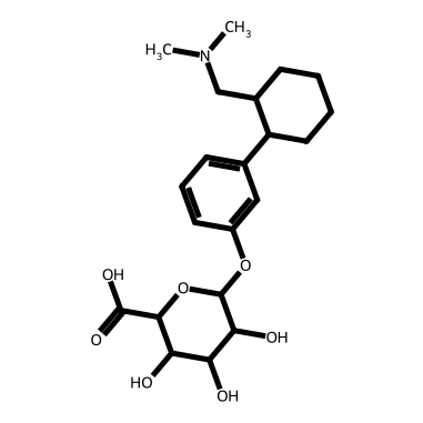 CN(C)CC1CCCCC1c1cccc(OC2OC(C(=O)O)C(O)C(O)C2O)c1